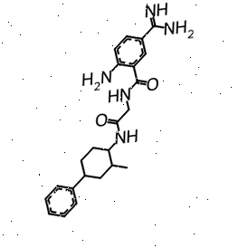 CC1CC(c2ccccc2)CCC1NC(=O)CNC(=O)c1cc(C(=N)N)ccc1N